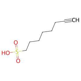 C#CCCCCCCS(=O)(=O)O